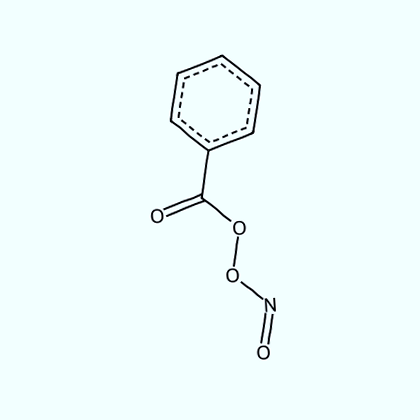 O=NOOC(=O)c1ccccc1